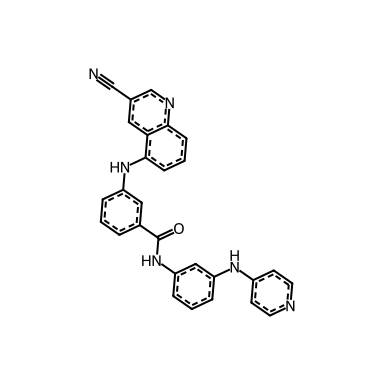 N#Cc1cnc2cccc(Nc3cccc(C(=O)Nc4cccc(Nc5ccncc5)c4)c3)c2c1